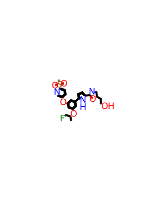 CC(CF)Oc1cc(Oc2ccc(S(C)(=O)=O)nc2)cc(-c2ccc(C3=NCC(CCO)O3)[nH]2)c1